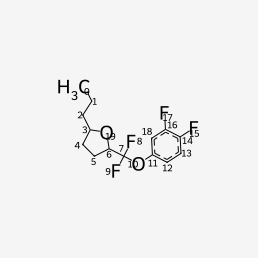 CCCC1CCC(C(F)(F)Oc2ccc(F)c(F)c2)O1